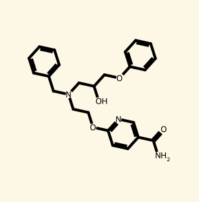 NC(=O)c1ccc(OCCN(Cc2ccccc2)CC(O)COc2ccccc2)nc1